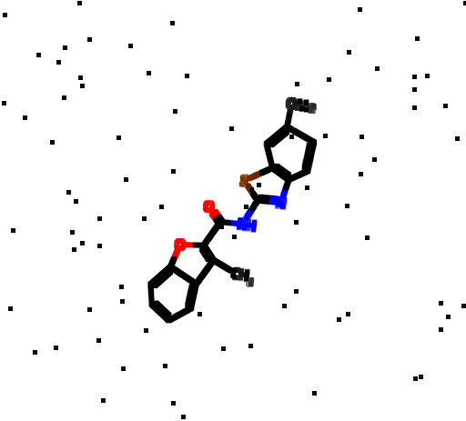 COc1ccc2nc(NC(=O)c3oc4ccccc4c3C)sc2c1